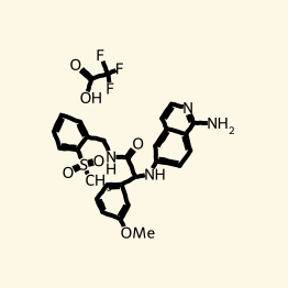 COc1cccc(C(Nc2ccc3c(N)nccc3c2)C(=O)NCc2ccccc2S(C)(=O)=O)c1.O=C(O)C(F)(F)F